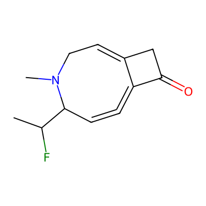 CC(F)C1C=C=C2C(=O)CC2=CCN1C